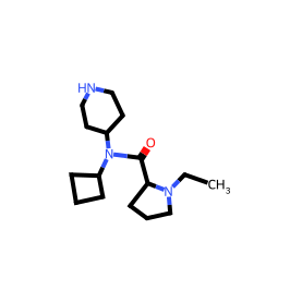 CCN1CCCC1C(=O)N(C1CCC1)C1CCNCC1